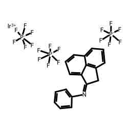 F[P-](F)(F)(F)(F)F.F[P-](F)(F)(F)(F)F.F[P-](F)(F)(F)(F)F.[Ir+3].c1ccc(N=C2Cc3cccc4cccc2c34)cc1